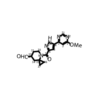 COc1cc(-c2cc(C(=O)N3CCC(C=O)CC34CC4)n[nH]2)ncn1